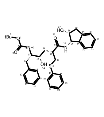 CC(C)(C)OC(=O)N[C@@H](Cc1ccccc1)[C@@H](O)C[C@@H](CSc1ccccc1)C(=O)N[C@H]1c2ccccc2C[C@H]1O